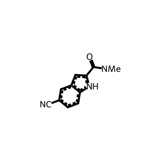 CNC(=O)c1cc2cc(C#N)ccc2[nH]1